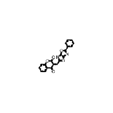 O=C1Oc2ccccc2C(=O)/C1=C/c1nc2oc(-c3ccccc3)nc2o1